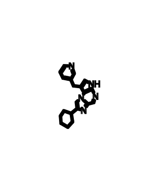 c1cncc(Cc2c[nH]c3ncc4nc(C5CCCCC5)cn4c23)c1